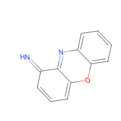 N=c1cccc2oc3ccccc3nc1-2